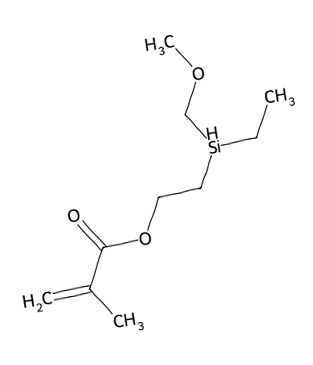 C=C(C)C(=O)OCC[SiH](CC)COC